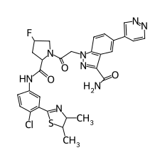 CC1N=C(c2cc(NC(=O)C3CC(F)CN3C(=O)Cn3nc(C(N)=O)c4cc(-c5ccnnc5)ccc43)ccc2Cl)SC1C